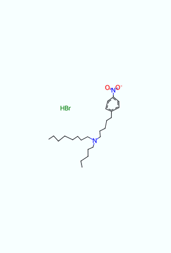 Br.CCCCCCCCN(CCCCC)CCCCCc1ccc([N+](=O)[O-])cc1